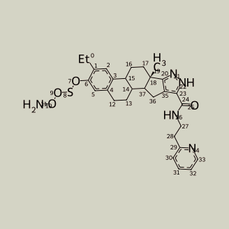 CCc1cc2c(cc1OSOON)CCC1C2CC[C@]2(C)c3n[nH]c(C(=O)NCCc4ccccn4)c3CC12